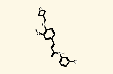 C=C(/C=C/c1ccc(OCC2COC2)c(OC)c1)Nc1cccc(Cl)c1